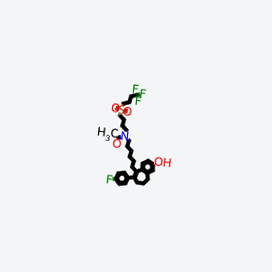 CC(=O)N(CCCCCCC1=C(c2ccc(F)cc2)CCCc2cc(O)ccc21)CCCCS(=O)(=O)CCCC(F)(F)F